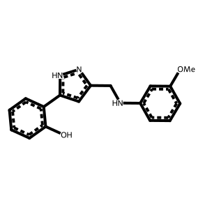 COc1cccc(NCc2cc(-c3ccccc3O)[nH]n2)c1